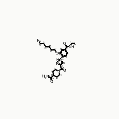 CCNC(=O)c1ccc(-n2cc(C(=O)N3CCC(C(N)=O)CC3)nn2)c(OCCCCCCF)c1